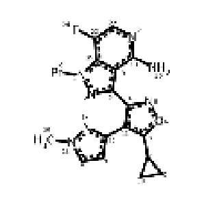 CC(C)n1nc(-c2noc(C3CC3)c2-c2ccn(C)n2)c2c(N)ncc(F)c21